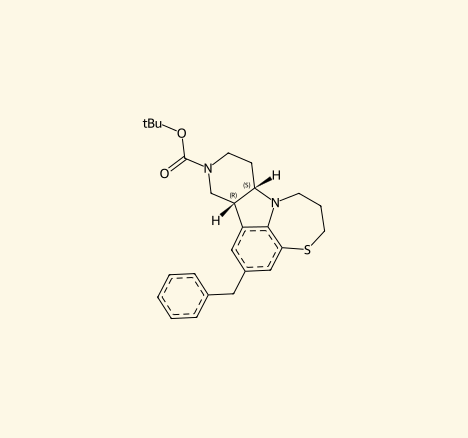 CC(C)(C)OC(=O)N1CC[C@H]2[C@@H](C1)c1cc(Cc3ccccc3)cc3c1N2CCCS3